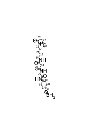 BOCc1ccc(NC(=O)CNC(=O)CC(=O)NCCCCCN2C(=O)C=CC2=O)cc1